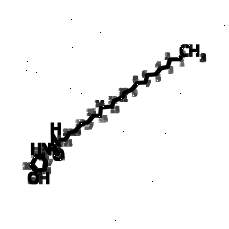 CCCCCCCCCCCCCCCCCCCCCCNC(=O)Nc1ccc(O)cc1